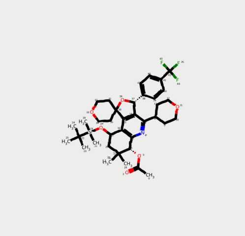 CC(=O)O[C@H]1c2nc(C3CCOCC3)c3c(c2C(O[Si](C)(C)C(C)(C)C)CC1(C)C)C1(CCOCC1)O[C@@H]3c1ccc(C(F)(F)F)cc1